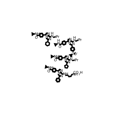 CC(C)CNc1nc(-c2ccc([S+]([O-])C3CC3)cc2)cn2c(-c3ccc(C(=O)NC4CC4)cc3)cnc12.CC(C)CNc1nc(C2CCCC2)cn2c(-c3ccc(C(=O)NC4CC4)cc3)cnc12.CC(C)CNc1nc(C2CCCCC2)cn2c(-c3ccc(C(=O)NC4CC4)cc3)cnc12.O=C(O)NC/C=C\CCNc1nc(-c2ccccc2)cn2c(-c3ccc(C(=O)NC4CC4)cc3)cnc12